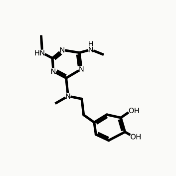 CNc1nc(NC)nc(N(C)CCc2ccc(O)c(O)c2)n1